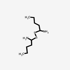 CCCCC(N)SSC(N)CCCC